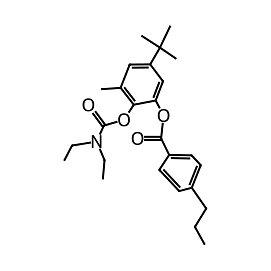 CCCc1ccc(C(=O)Oc2cc(C(C)(C)C)cc(C)c2OC(=O)N(CC)CC)cc1